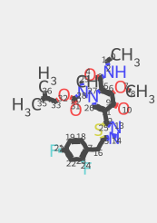 CCNC(=O)c1c(OC)c(=O)c(-c2nnc(Cc3ccc(F)cc3F)s2)cn1N(C)C(=O)OCC(C)C